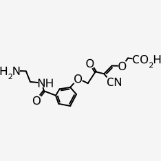 N#C/C(=C\OCC(=O)O)C(=O)COc1cccc(C(=O)NCCN)c1